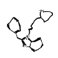 c1ccc(Cc2nc3ccccc3n2CCCC2CCCNC2)cc1